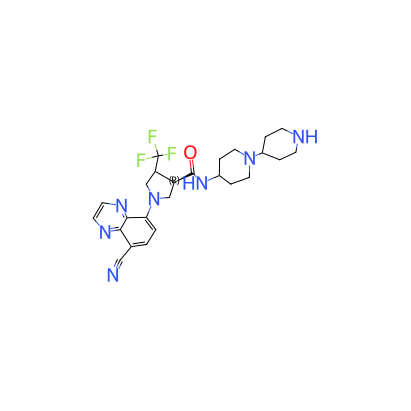 N#Cc1ccc(N2CC(C(F)(F)F)[C@@H](C(=O)NC3CCN(C4CCNCC4)CC3)C2)c2nccnc12